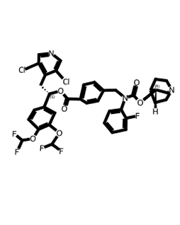 O=C(O[C@@H](Cc1c(Cl)cncc1Cl)c1ccc(OC(F)F)c(OC(F)F)c1)c1ccc(CN(C(=O)O[C@H]2CN3CCC2CC3)c2ccccc2F)cc1